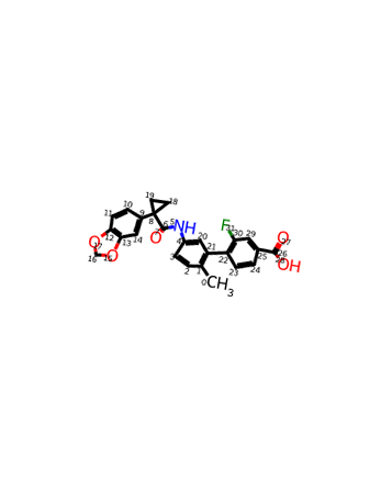 Cc1ccc(NC(=O)C2(c3ccc4c(c3)OCO4)CC2)cc1-c1ccc(C(=O)O)cc1F